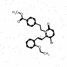 CCOc1ccccc1/C=C/c1c(Br)ccc(=O)n1CCc1ccc(C(=O)OC)cc1